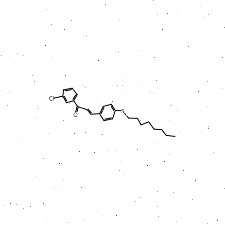 CCCCCCCCSc1ccc(C=CC(=O)c2cccc(Cl)c2)cc1